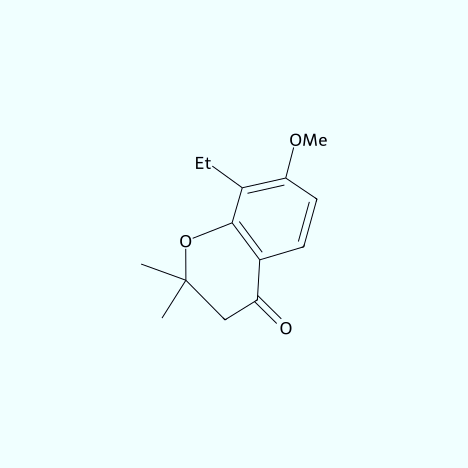 [CH2]Cc1c(OC)ccc2c1OC(C)(C)CC2=O